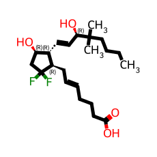 CCCCC(C)(C)[C@H](O)C=C[C@H]1[C@H](O)CC(F)(F)[C@@H]1CC=CCCCC(=O)O